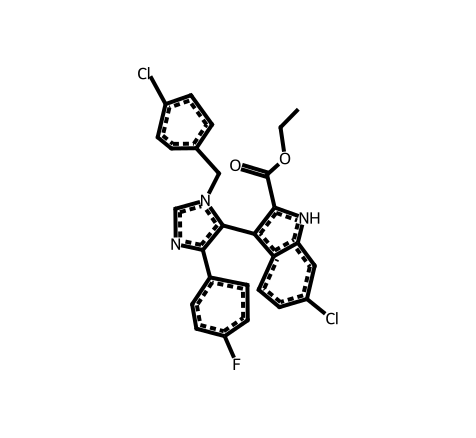 CCOC(=O)c1[nH]c2cc(Cl)ccc2c1-c1c(-c2ccc(F)cc2)ncn1Cc1ccc(Cl)cc1